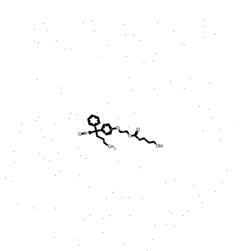 CCCCC(C#[N+][O-])(c1ccccc1)c1ccc(OCCOC(=O)CCCCO)cc1